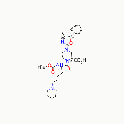 C[C@@H]1N=C(N2CCN(C(=O)[C@@H](CCCCN3CCCCC3)NC(=O)OC(C)(C)C)[C@H](C(=O)O)C2)O[C@H]1c1ccccc1